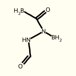 BC(=O)N(B)NC=O